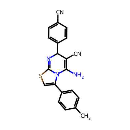 Cc1ccc(C2=CSC3=NC(c4ccc(C#N)cc4)C(C#N)=C(N)N23)cc1